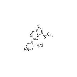 Cl.FC(F)(F)Sc1cnc2cnc(N3CCNCC3)cn12